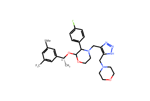 CSc1cc([C@@H](C)OC2OCCN(Cc3nn[nH]c3CN3CCOCC3)C2c2ccc(F)cc2)cc(C(F)(F)F)c1